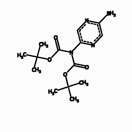 Bc1cnc(N(C(=O)OC(C)(C)C)C(=O)OC(C)(C)C)cn1